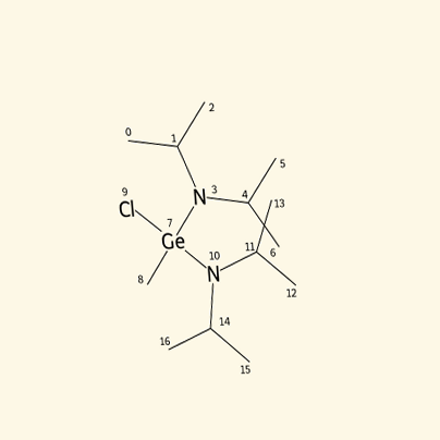 CC(C)[N](C(C)C)[Ge]([CH3])([Cl])[N](C(C)C)C(C)C